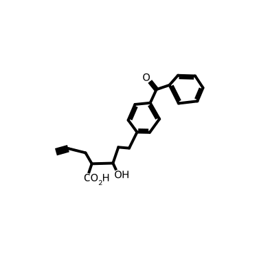 C#CCC(C(=O)O)C(O)CCc1ccc(C(=O)c2ccccc2)cc1